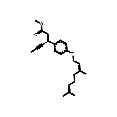 CC#C[C@@H](CC(=O)OC)c1ccc(OC/C=C(/C)CCC=C(C)C)cc1